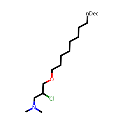 CCCCCCCCCCCCCCCCCCOCC(Cl)CN(C)C